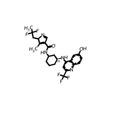 CC1=C(C(=O)NC2CCC[C@H](Nc3cc(C(F)(F)F)nc4ccc(O)cc34)C2)C=NC1CC(C)(F)F